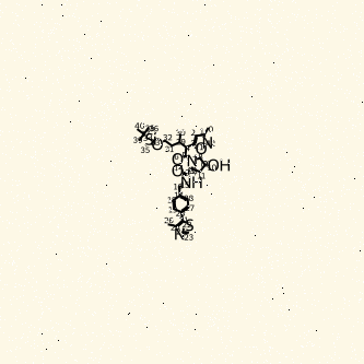 Cc1cc(C(C(=O)N2C[C@H](O)C[C@H]2C(=O)NCc2ccc(-c3scnc3C)cc2)C(C)CCO[Si](C)(C)C(C)(C)C)on1